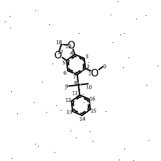 COc1cc2c(cc1C(C)(C)c1ccccc1)OCO2